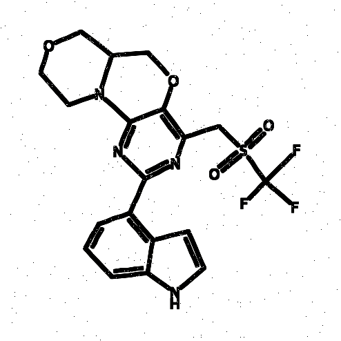 O=S(=O)(Cc1nc(-c2cccc3[nH]ccc23)nc2c1OCC1COCCN21)C(F)(F)F